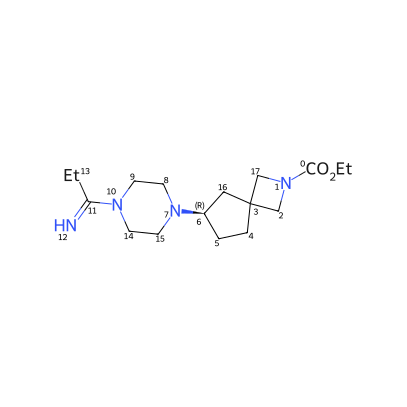 CCOC(=O)N1CC2(CC[C@@H](N3CCN(C(=N)CC)CC3)C2)C1